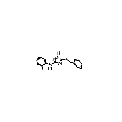 Cc1ccccc1Nc1n[nH]c(CCc2ccccc2)n1